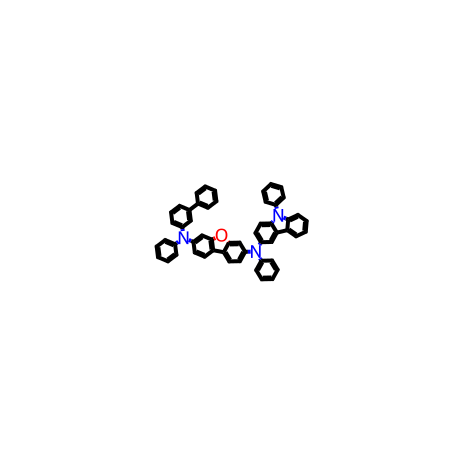 c1ccc(-c2cccc(N(c3ccccc3)c3ccc4c(c3)oc3cc(N(c5ccccc5)c5ccc6c(c5)c5ccccc5n6-c5ccccc5)ccc34)c2)cc1